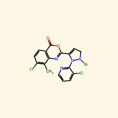 Cc1c(Cl)ccc2c(=O)oc(C3=CCN(Br)N3c3ncccc3Cl)nc12